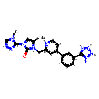 CCCCc1cn(-c2nncn2C(C)CC)c(=O)n1Cc1cc(-c2cccc(-c3nnn[nH]3)c2)ccn1